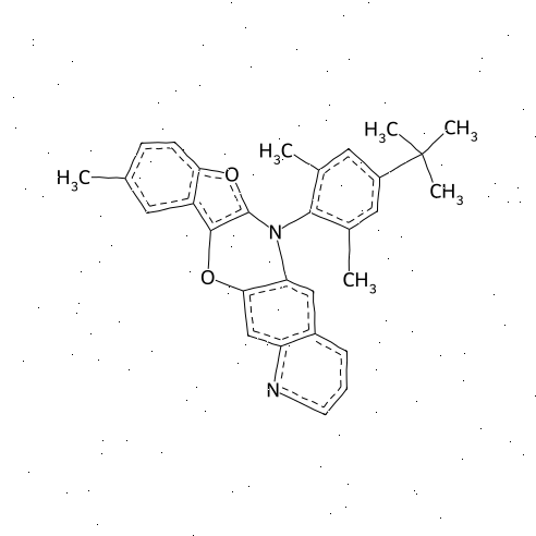 Cc1ccc2oc3c(c2c1)Oc1cc2ncccc2cc1N3c1c(C)cc(C(C)(C)C)cc1C